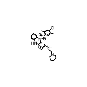 Cc1cc(S(=O)(=O)N2c3ccccc3NC(=O)[C@H]2CC(=O)NCCN2CCCCC2)c(C)cc1Cl